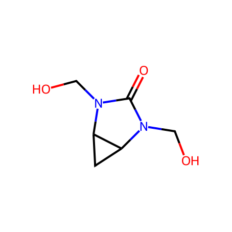 O=C1N(CO)C2CC2N1CO